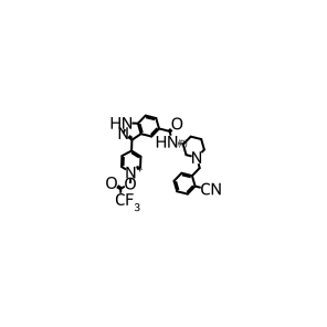 N#Cc1ccccc1CN1CCC[C@@H](NC(=O)c2ccc3[nH]nc(-c4cc[n+](OC(=O)C(F)(F)F)cc4)c3c2)C1